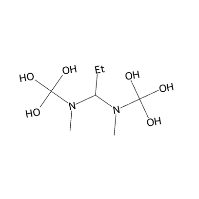 CCC(N(C)C(O)(O)O)N(C)C(O)(O)O